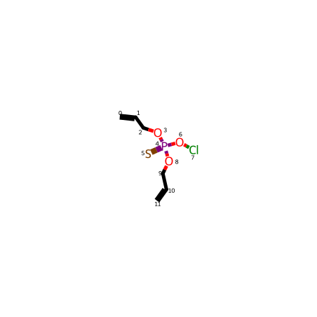 C=CCOP(=S)(OCl)OCC=C